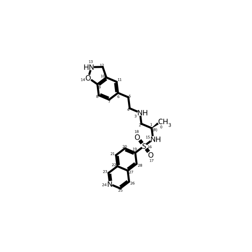 C[C@H](CNCCc1ccc2c(c1)CNO2)NS(=O)(=O)c1ccc2cnccc2c1